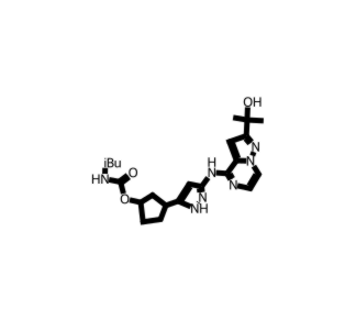 CCC(C)NC(=O)OC1CCC(c2cc(Nc3nccn4nc(C(C)(C)O)cc34)n[nH]2)C1